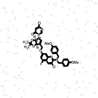 COc1ccc(CN(Cc2ccc(OC)cc2)c2nc3cc(OCC4=C[C@@H](n5cnc(Cl)cc5=O)[C@@H]5OC(C)(C)O[C@H]45)cc(F)c3cc2Cl)cc1